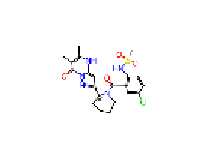 Cc1[nH]c2cc([C@@H]3CCCCN3C(=O)c3cc(Cl)ccc3NS(C)(=O)=O)nn2c(=O)c1C